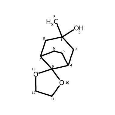 CC1(O)CC2CCC(C1)C21OCCO1